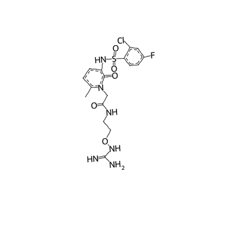 Cc1ccc(NS(=O)(=O)c2ccc(F)cc2Cl)c(=O)n1CC(=O)NCCONC(=N)N